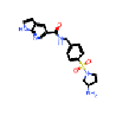 NC1CCN(S(=O)(=O)c2ccc(CNC(=O)c3cnc4[nH]ccc4c3)cc2)C1